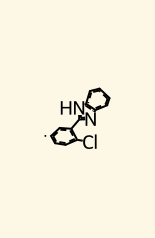 Clc1cc[c]cc1-c1nc2ccccc2[nH]1